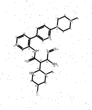 CN1CCN(c2ccc(-c3ccncc3NC(=O)C(C(N)N=O)C3NCC(F)CN3C)cn2)CC1